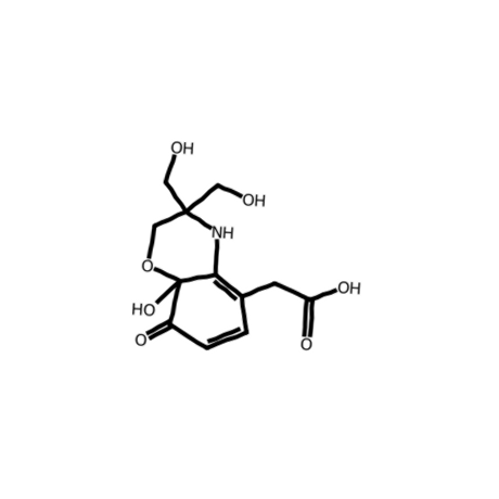 O=C(O)CC1=C2NC(CO)(CO)COC2(O)C(=O)C=C1